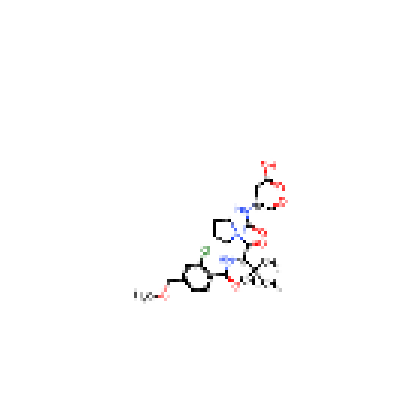 COCc1ccc(C(=O)N[C@H](C(=O)[N+]2(C(=O)N[C@H](C=O)CC(=O)O)CCCC2)C(C)(C)C)c(Cl)c1